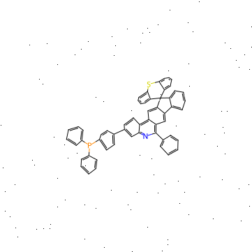 c1ccc(-c2nc3cc(-c4ccc(P(c5ccccc5)c5ccccc5)cc4)ccc3c3cc4c(cc23)-c2ccccc2C42c3ccccc3Sc3ccccc32)cc1